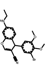 CCNc1ccc2c(c1)OC=C(C#N)C2c1cc(Br)c(OC)c(OC)c1